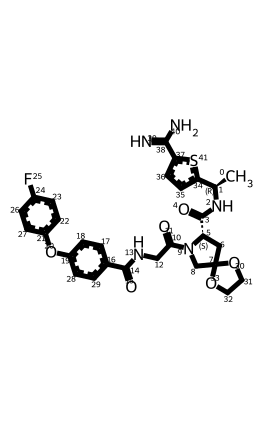 C[C@@H](NC(=O)[C@@H]1CC2(CN1C(=O)CNC(=O)c1ccc(Oc3ccc(F)cc3)cc1)OCCO2)c1ccc(C(=N)N)s1